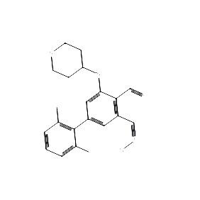 C=Cc1c(/C=N\N)cc(-c2c(C)cccc2Cl)cc1NC1CCNCC1